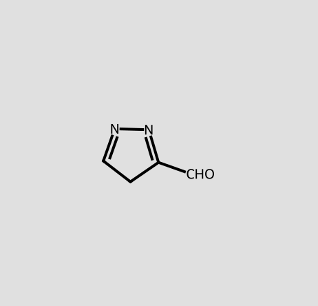 O=CC1=NN=CC1